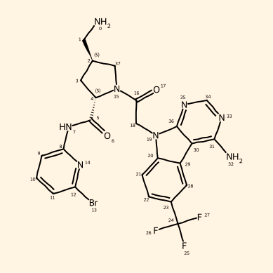 NC[C@@H]1C[C@@H](C(=O)Nc2cccc(Br)n2)N(C(=O)Cn2c3ccc(C(F)(F)F)cc3c3c(N)ncnc32)C1